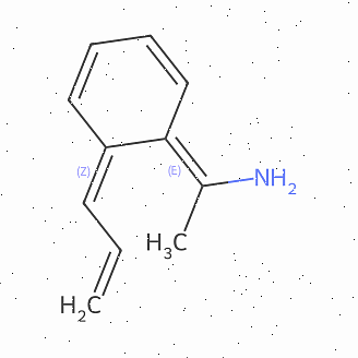 C=C/C=c1/cccc/c1=C(/C)N